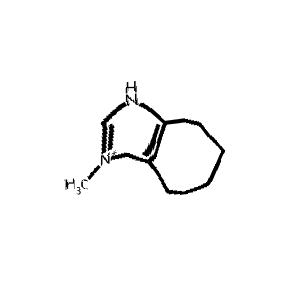 C[n+]1c[nH]c2c1CCCC2